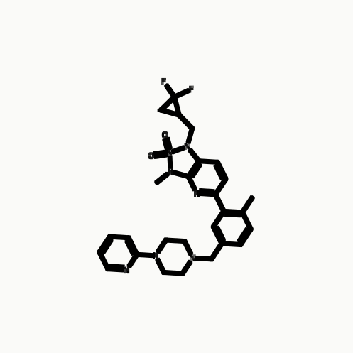 Cc1ccc(CN2CCN(c3ccccn3)CC2)cc1-c1ccc2c(n1)N(C)S(=O)(=O)N2CC1CC1(F)F